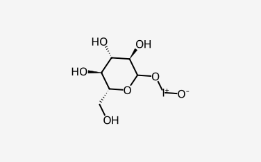 [O-][I+]OC1O[C@H](CO)[C@@H](O)[C@H](O)[C@H]1O